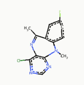 CC1=Nc2c(Cl)ncnc2N(C)c2ccc(F)cc21